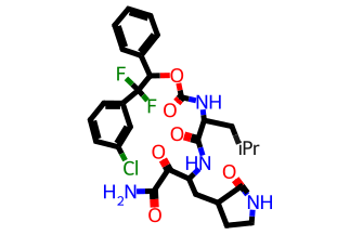 CC(C)CC(NC(=O)OC(c1ccccc1)C(F)(F)c1cccc(Cl)c1)C(=O)NC(CC1CCNC1=O)C(=O)C(N)=O